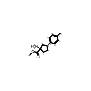 COC(=O)[C@@]1(N)CC[C@H](c2ccc(C)cc2)C1